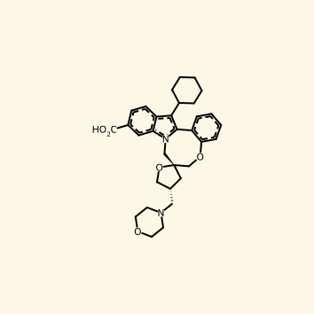 O=C(O)c1ccc2c(C3CCCCC3)c3n(c2c1)C[C@@]1(COc2ccccc2-3)C[C@H](CN2CCOCC2)CO1